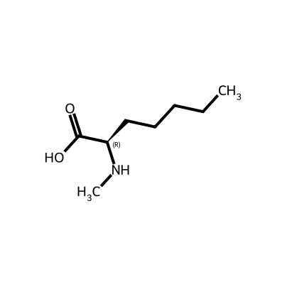 CCCCC[C@@H](NC)C(=O)O